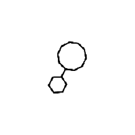 C1CCCC[C](C2CCCCC2)CCCC1